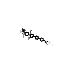 CCCC1CCC(c2ccc(-c3cc(F)c(C4=CC=C(OC(F)(F)F)C(F)C4)c(F)c3)cc2)CC1